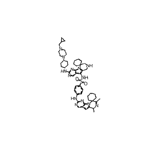 CC1=NC(C)c2cc3cnc(Nc4ccc(S(=O)(=O)Nc5c6n(c7nc(N[C@H]8CC[C@H](N9CCN(CC%10CC%10)CC9)CC8)ncc57)C5(CCCCC5)CNC6)cc4)nc3n2C12CCCCC2